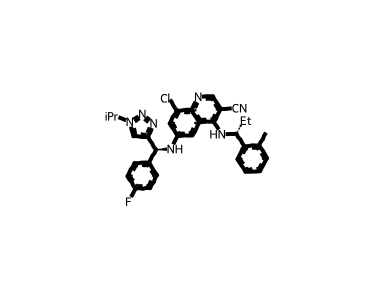 CC[C@@H](Nc1c(C#N)cnc2c(Cl)cc(N[C@@H](c3ccc(F)cc3)c3cn(C(C)C)nn3)cc12)c1ccccc1C